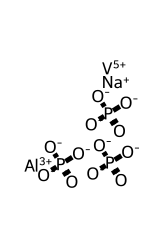 O=P([O-])([O-])[O-].O=P([O-])([O-])[O-].O=P([O-])([O-])[O-].[Al+3].[Na+].[V+5]